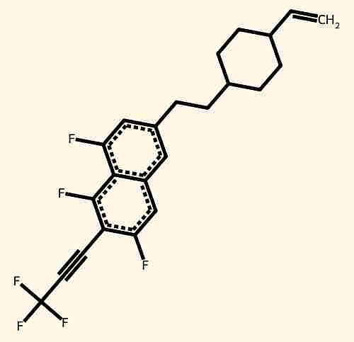 C=CC1CCC(CCc2cc(F)c3c(F)c(C#CC(F)(F)F)c(F)cc3c2)CC1